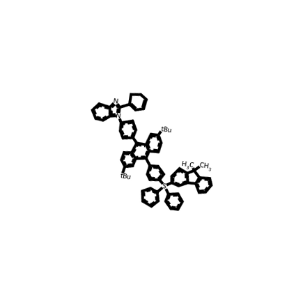 CC(C)(C)c1ccc2c(-c3ccc(S(c4ccccc4)(c4ccccc4)c4ccc5c(c4)-c4ccccc4C5(C)C)cc3)c3cc(C(C)(C)C)ccc3c(-c3ccc(-n4c(C5=CC=CCC5)nc5ccccc54)cc3)c2c1